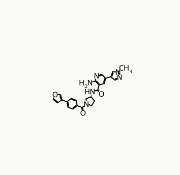 Cn1cc(-c2cnc(N)c(C(=O)N[C@@H]3CCN(C(=O)c4ccc(-c5ccoc5)cc4)C3)c2)cn1